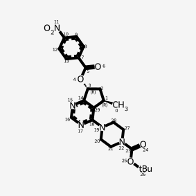 C[C@@H]1C[C@@H](OC(=O)c2ccc([N+](=O)[O-])cc2)c2ncnc(N3CCN(C(=O)OC(C)(C)C)CC3)c21